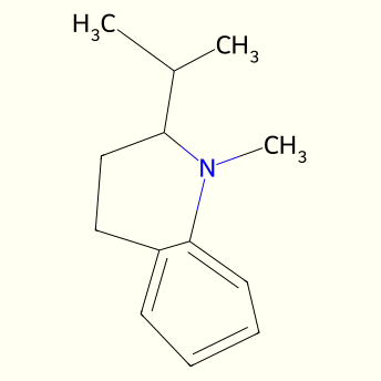 CC(C)C1CCc2ccccc2N1C